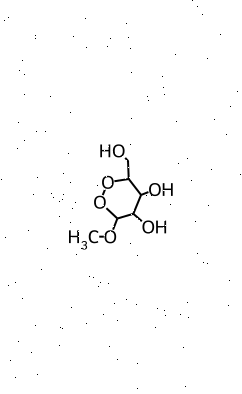 COC1OOC(CO)C(O)C1O